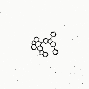 C1=CCCC(C2CCC3C(C2)C2=C(C=CC(N(C4=Cc5c(oc6ccccc56)CC4)C4CC=Cc5oc6c(c54)CCC=C6)C2)N3C2C=CC=CC2)=C1